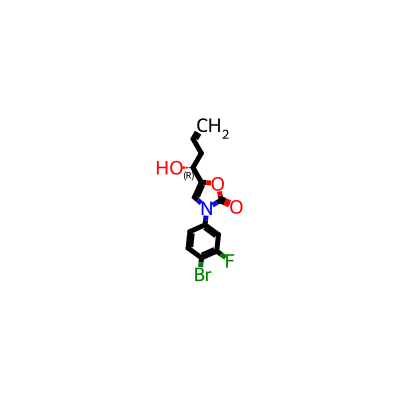 C=CC[C@@H](O)c1cn(-c2ccc(Br)c(F)c2)c(=O)o1